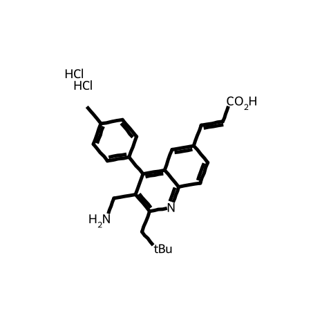 Cc1ccc(-c2c(CN)c(CC(C)(C)C)nc3ccc(C=CC(=O)O)cc23)cc1.Cl.Cl